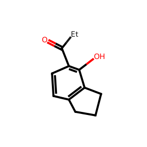 CCC(=O)c1ccc2c(c1O)CCC2